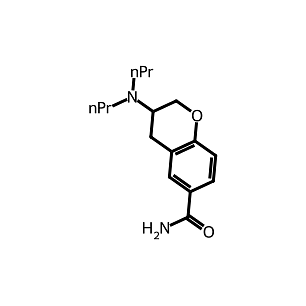 CCCN(CCC)C1COc2ccc(C(N)=O)cc2C1